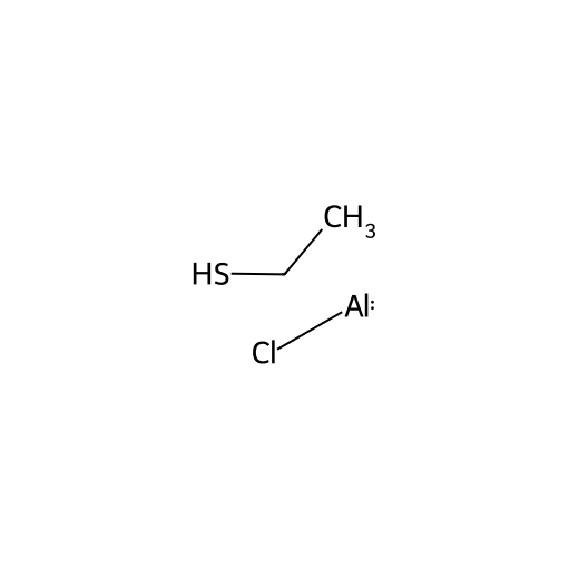 CCS.[Al][Cl]